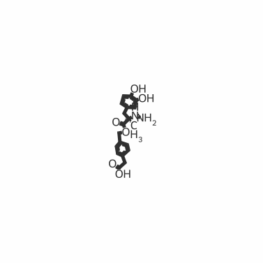 C[C@@](Cc1ccc(O)c(O)c1)(NN)C(=O)OCc1ccc(CC(=O)O)cc1